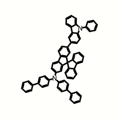 c1ccc(-c2ccc(N(c3ccc(-c4ccccc4)cc3)c3ccc4c(c3)C3(c5ccccc5-c5ccccc53)c3cc(-c5ccc6c(c5)c5ccccc5n6-c5ccccc5)ccc3-4)cc2)cc1